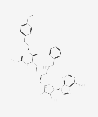 COC(=O)NC(CC[C@H](CNCc1ccccc1)C[C@H]1O[C@@H](n2cnc3c(N)ncnc32)C(O)C1O)C(=O)NCCc1ccc(OC)cc1